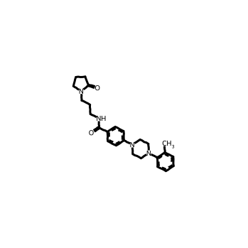 Cc1ccccc1N1CCN(c2ccc(C(=O)NCCCN3CCCC3=O)cc2)CC1